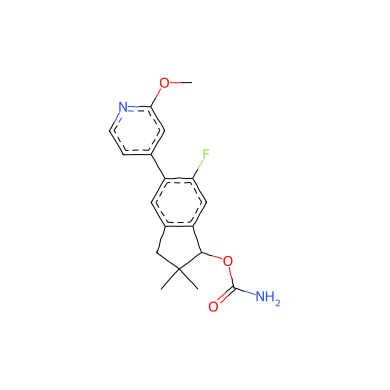 COc1cc(-c2cc3c(cc2F)C(OC(N)=O)C(C)(C)C3)ccn1